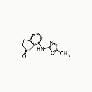 Cc1cnc(Nc2cccc3c2CC(=O)CC3)o1